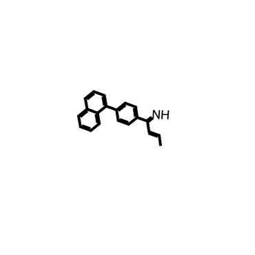 C/C=C/C(=N)c1ccc(-c2cccc3ccccc23)cc1